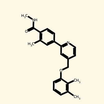 CNC(=O)c1ccc(-c2cc(COc3cccc(C)c3C)ccn2)cc1C